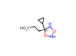 O=C(O)CC[C@@]1(C2CC2)NONO1